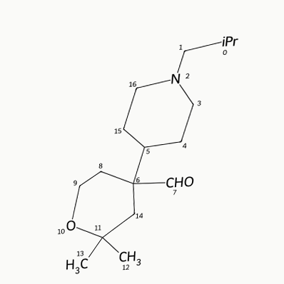 CC(C)CN1CCC(C2(C=O)CCOC(C)(C)C2)CC1